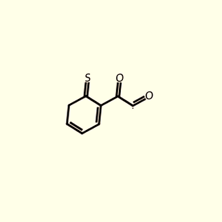 O=[C]C(=O)C1=CC=CCC1=S